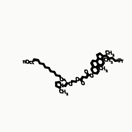 CCCCCCCC/C=C\CCCCCCCCOC[C@@H](CN1CCC[C@H]1C)OCCOC(=O)CCC(=O)O[C@H]1CC[C@@]2(C)C(=CCC3C4CCC([C@H](C)CCCC(C)C)[C@@]4(C)CCC32)C1